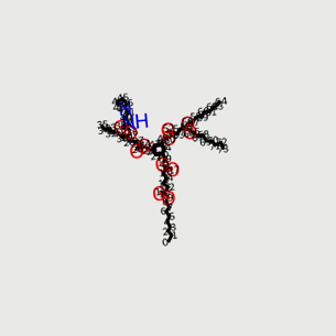 CCCCCCCCCOC(=O)CCCCC(=O)OCc1cc(COC(=O)CCC(CCCCCC)OC(=O)NCCN2CCCC2)cc(COC(=O)CCC(OCCCCCCCC)OCCCCCCCC)c1